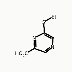 CCSc1cncc(C(=O)O)n1